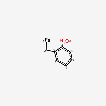 O.[Fe][CH2]c1ccccc1